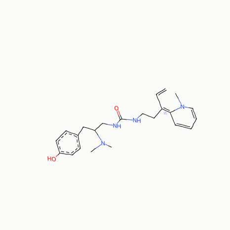 C=C/C(CCNC(=O)NCC(Cc1ccc(O)cc1)N(C)C)=C1/C=CC=CN1C